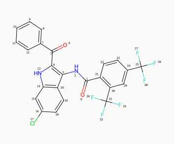 O=C(Nc1c(C(=O)c2ccccc2)[nH]c2cc(Cl)ccc12)c1ccc(C(F)(F)F)cc1C(F)(F)F